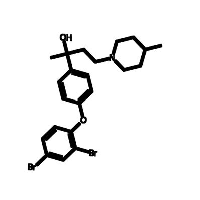 CC1CCN(CCC(C)(O)c2ccc(Oc3ccc(Br)cc3Br)cc2)CC1